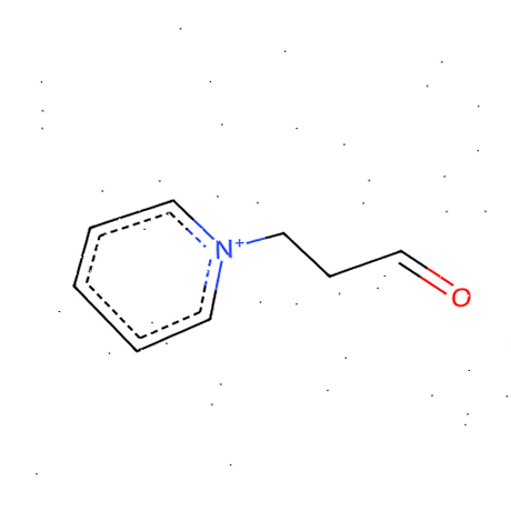 O=CCC[n+]1ccccc1